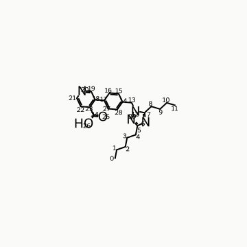 CCCCCc1nc(CCCC)n(Cc2ccc(-c3cnccc3C(=O)O)cc2)n1